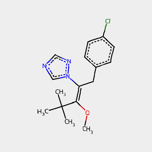 COC(=C(Cc1ccc(Cl)cc1)n1cncn1)C(C)(C)C